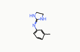 Cc1cccc(N=C2NCCN2)c1